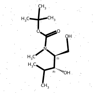 CC(C)[C@@H](O)[C@H](CO)N(C)C(=O)OC(C)(C)C